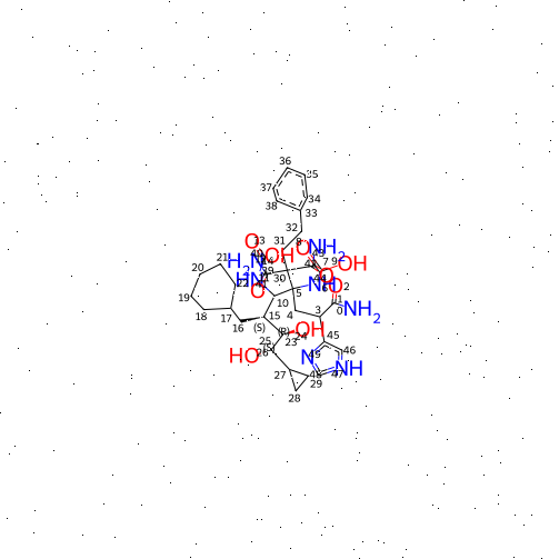 NC(=O)C(CC(NC(=O)O)(C(NC(=O)O)[C@H](CC1CCCCC1)[C@@H](O)[C@@H](O)C1CC1)C(CCc1ccccc1)(C(N)=O)C(N)=O)c1c[nH]cn1